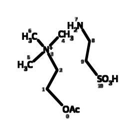 CC(=O)OCC[N+](C)(C)C.NCCS(=O)(=O)O